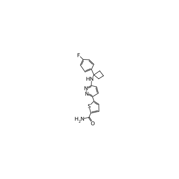 NC(=O)c1ccc(-c2ccc(NC3(c4ccc(F)cc4)CCC3)nn2)s1